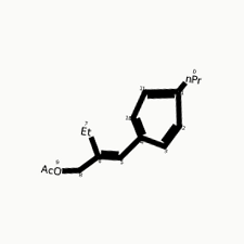 CCCc1ccc(/C=C(\CC)COC(C)=O)cc1